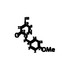 COc1ccc(Cn2ncc(I)cc2=O)cc1